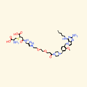 CCCCCNc1nc(N)nc2ccn(Cc3ccc(CN4CCN(C(=O)CCOCCOCCn5cc(CNC(=O)CC(SCC(N)C(=O)O)C(=O)O)nn5)CC4)cc3OC)c12